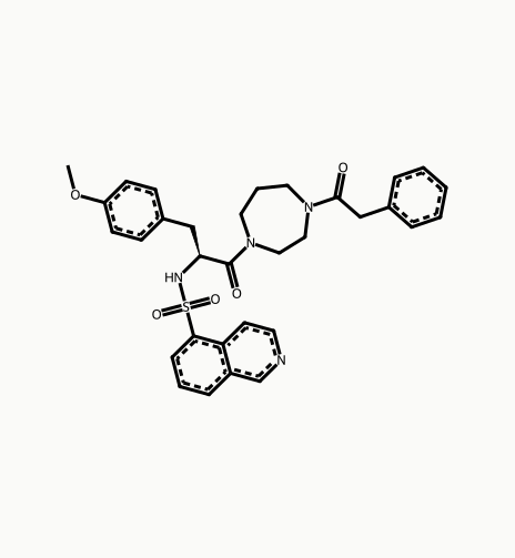 COc1ccc(C[C@H](NS(=O)(=O)c2cccc3cnccc23)C(=O)N2CCCN(C(=O)Cc3ccccc3)CC2)cc1